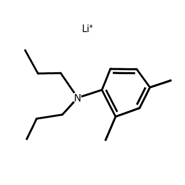 CCCN(CCC)c1ccc(C)cc1C.[Li+]